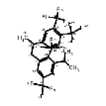 CC(C)c1cc(C(F)(F)F)cc(CC(C)c2ccc(C(F)(F)F)c(C(F)(F)F)c2)c1C(F)(F)F